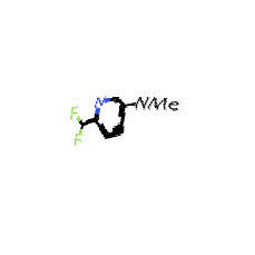 CNc1ccc(C(F)F)nc1